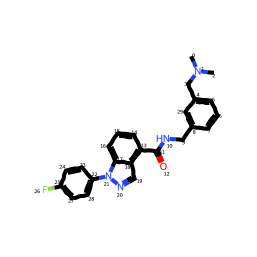 CN(C)Cc1cccc(CNC(=O)c2cccc3c2cnn3-c2ccc(F)cc2)c1